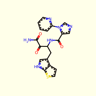 NC(=O)C(=O)C(Cc1c[nH]c2sccc12)NC(=O)c1cncn1-c1ccccn1